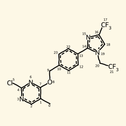 Cc1cnc(Cl)nc1OCc1ccc(-c2nc(C(F)(F)F)cn2CC(F)(F)F)cc1